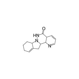 O=C1NN2C3CCCC=C3CC2C2N=CC=CC12